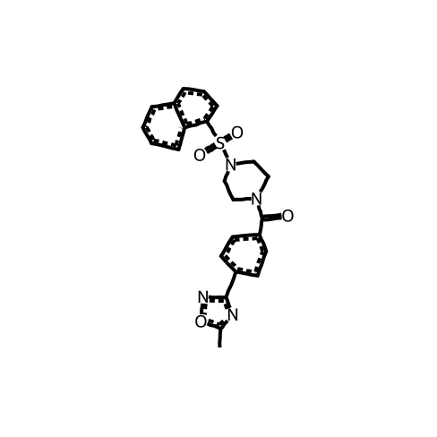 Cc1nc(-c2ccc(C(=O)N3CCN(S(=O)(=O)c4cccc5ccccc45)CC3)cc2)no1